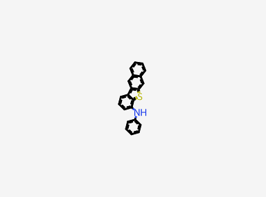 c1ccc(Nc2cccc3c2sc2cc4ccccc4cc23)cc1